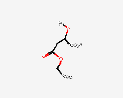 CCOC(CC(=O)OCC=O)C(=O)O